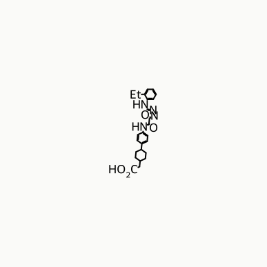 CCc1ccccc1Nc1nnc(C(=O)Nc2ccc(C3CCC(CC(=O)O)CC3)cc2)o1